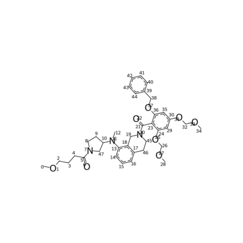 COCCCC(=O)N1CCC(N(C)c2cccc3c2CN(C(=O)c2c(OCOC)cc(OCOC)cc2OCc2ccccc2)CC3)C1